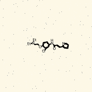 CCN(CC)CCOc1ccc(NC(=O)/C=C/c2ccccn2)cc1Cl